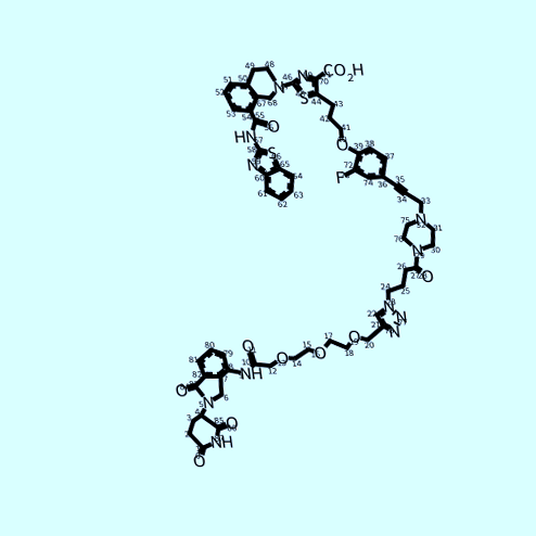 O=C1CCC(N2Cc3c(NC(=O)COCCOCCOCc4cn(CCCC(=O)N5CCN(CC#Cc6ccc(OCCCc7sc(N8CCc9cccc(C(=O)Nc%10nc%11ccccc%11s%10)c9C8)nc7C(=O)O)c(F)c6)CC5)nn4)cccc3C2=O)C(=O)N1